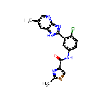 Cc1cnc2nc(-c3cc(NC(=O)c4csc(C)n4)ccc3Cl)[nH]c2c1